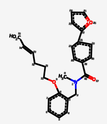 CN(Cc1ccccc1OCCCC=CC(=O)O)C(=O)c1ccc(-c2ccco2)cc1